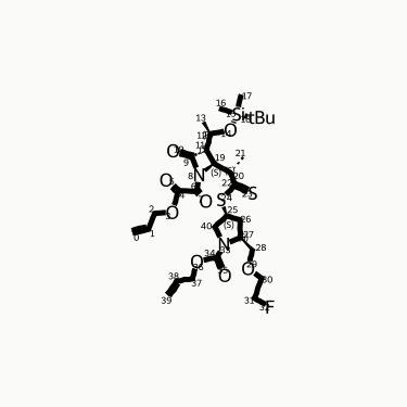 C=CCOC(=O)C(=O)N1C(=O)[C@H]([C@@H](C)O[Si](C)(C)C(C)(C)C)[C@H]1[C@H](C)C(=S)S[C@H]1C[C@@H](COCCF)N(C(=O)OCC=C)C1